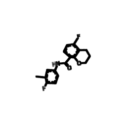 Cc1cc(NC(=O)c2ccc(F)c3c2OCCC3)ccc1F